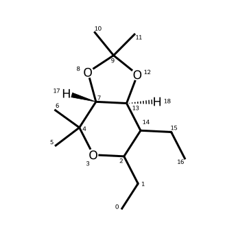 CCC1OC(C)(C)[C@@H]2OC(C)(C)O[C@H]2C1CC